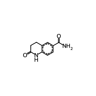 NC(=O)c1ccc2c(c1)CCC(=O)N2